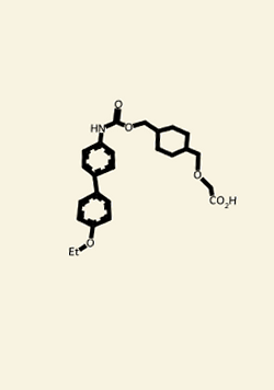 CCOc1ccc(-c2ccc(NC(=O)OCC3CCC(COCC(=O)O)CC3)cc2)cc1